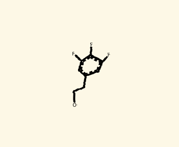 [O]CCc1cc(F)c(F)c(F)c1